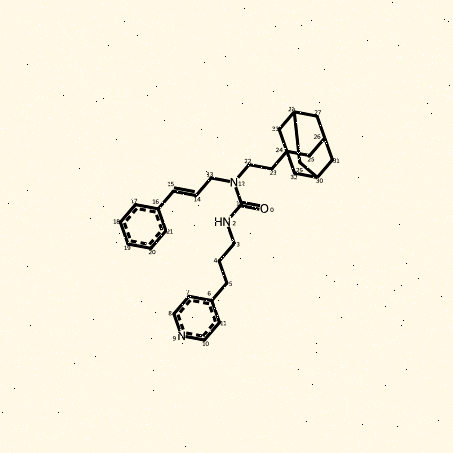 O=C(NCCCc1ccncc1)N(CC=Cc1ccccc1)CCC12CC3CC(CC(C3)C1)C2